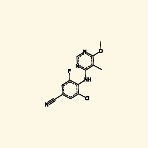 COc1ncnc(Nc2c(F)cc(C#N)cc2Cl)c1C